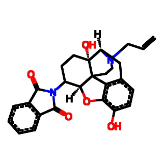 C=CCN1CCC23c4c5ccc(O)c4O[C@H]2C(N2C(=O)c4ccccc4C2=O)CC[C@@]3(O)[C@H]1C5